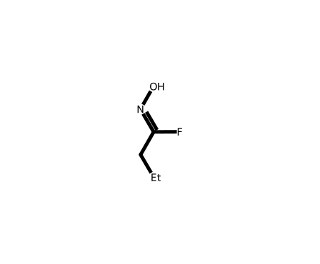 CCCC(F)=NO